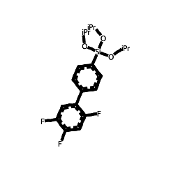 CC(C)O[Si](OC(C)C)(OC(C)C)c1ccc(-c2cc(F)c(F)cc2F)cc1